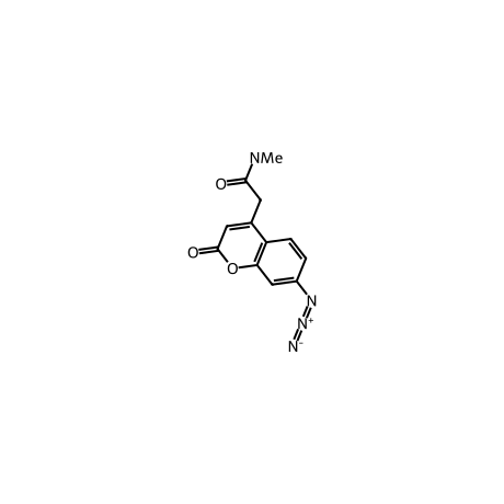 CNC(=O)Cc1cc(=O)oc2cc(N=[N+]=[N-])ccc12